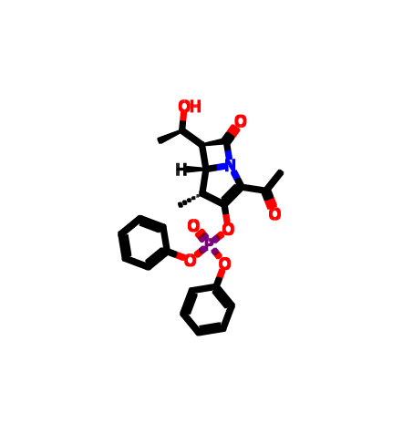 CC(=O)C1=C(OP(=O)(Oc2ccccc2)Oc2ccccc2)[C@H](C)[C@@H]2[C@@H]([C@@H](C)O)C(=O)N12